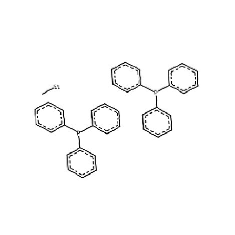 CCC.c1ccc(P(c2ccccc2)c2ccccc2)cc1.c1ccc(P(c2ccccc2)c2ccccc2)cc1